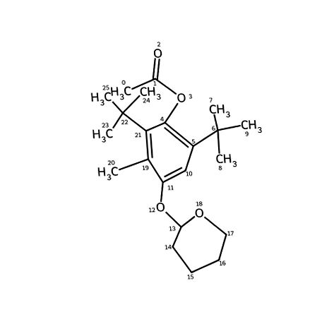 CC(=O)Oc1c(C(C)(C)C)cc(OC2CCCCO2)c(C)c1C(C)(C)C